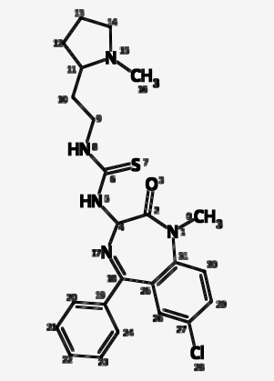 CN1C(=O)C(NC(=S)NCCC2CCCN2C)N=C(c2ccccc2)c2cc(Cl)ccc21